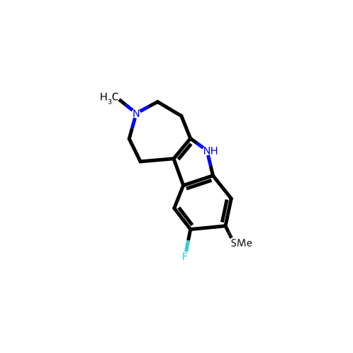 CSc1cc2[nH]c3c(c2cc1F)CCN(C)CC3